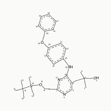 CC(C)(O)c1cnc(CO[Si](C)(C)C(C)(C)C)nc1Nc1ccc(Oc2ccccc2)cc1